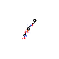 COC(=O)c1ccc(C(=O)NS(=O)(=O)c2ccc(CCNC(=O)CCc3ccccc3)cc2)cn1